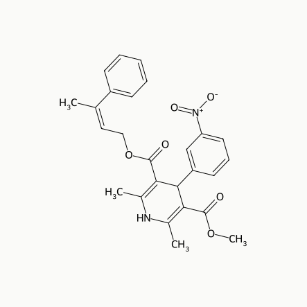 COC(=O)C1=C(C)NC(C)=C(C(=O)OCC=C(C)c2ccccc2)C1c1cccc([N+](=O)[O-])c1